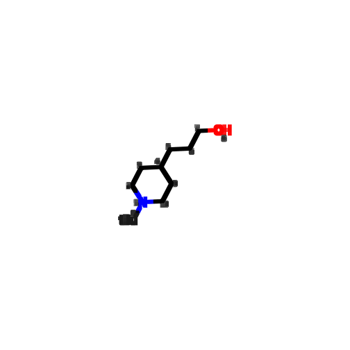 CC(C)(C)N1CCC(CCCO)CC1